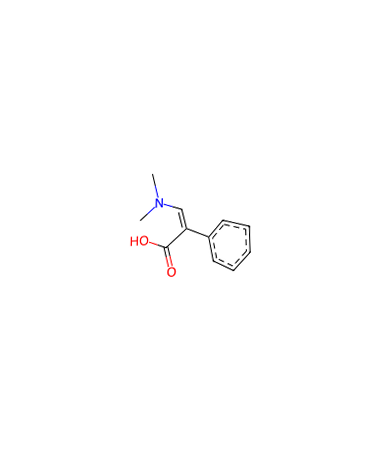 CN(C)/C=C(\C(=O)O)c1ccccc1